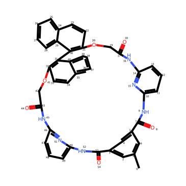 Cc1cc2cc(c1)C(=O)Nc1cccc(n1)NC(=O)COc1ccc3ccccc3c1-c1c(ccc3ccccc13)OCC(=O)Nc1cccc(n1)NC2=O